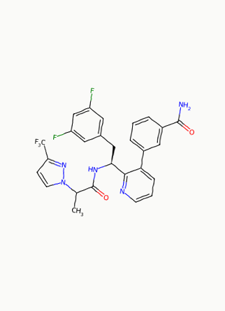 CC(C(=O)N[C@@H](Cc1cc(F)cc(F)c1)c1ncccc1-c1cccc(C(N)=O)c1)n1ccc(C(F)(F)F)n1